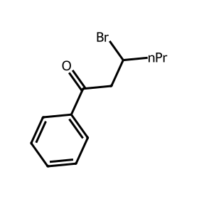 CCCC(Br)CC(=O)c1ccccc1